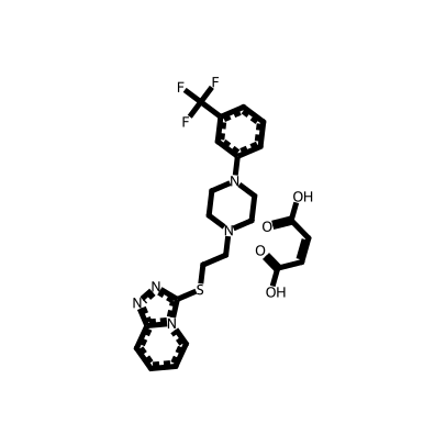 FC(F)(F)c1cccc(N2CCN(CCSc3nnc4ccccn34)CC2)c1.O=C(O)/C=C\C(=O)O